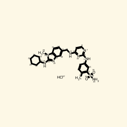 Cc1ccc(Nc2nccc(NCc3ccc4c(c3)nc(NC3CCCCC3)n4C)n2)cc1S(N)(=O)=O.Cl